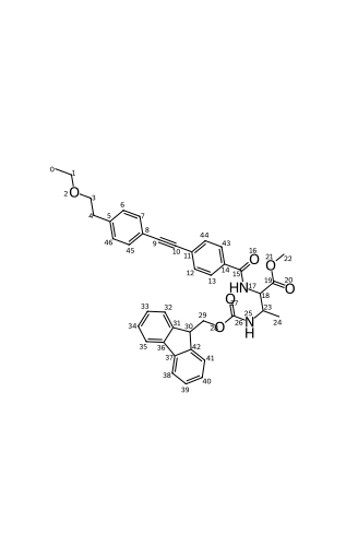 CCOCCc1ccc(C#Cc2ccc(C(=O)NC(C(=O)OC)C(C)NC(=O)OCC3c4ccccc4-c4ccccc43)cc2)cc1